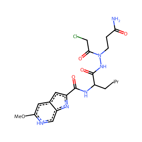 COc1cc2cc(C(=O)NC(CC(C)C)C(=O)NN(CCC(N)=O)C(=O)CCl)nc-2c[nH]1